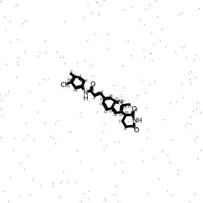 Cc1ccc(NC(=O)/C=C/c2ccc3cc(C4CCC(=O)NC4=O)c(C)nc3c2)cc1Cl